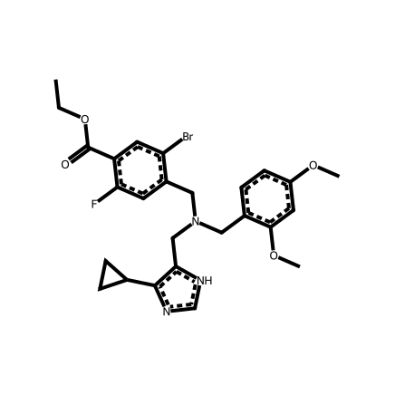 CCOC(=O)c1cc(Br)c(CN(Cc2ccc(OC)cc2OC)Cc2[nH]cnc2C2CC2)cc1F